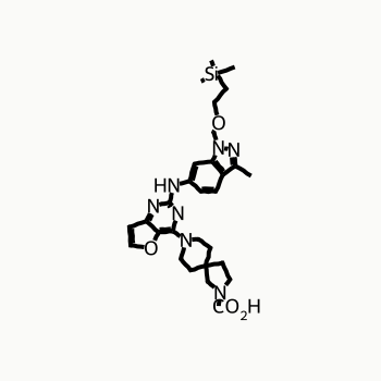 Cc1nn(COCC[Si](C)(C)C)c2cc(Nc3nc(N4CCC5(CCN(C(=O)O)C5)CC4)c4occc4n3)ccc12